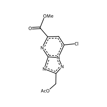 COC(=O)c1cc(Cl)n2nc(COC(C)=O)nc2n1